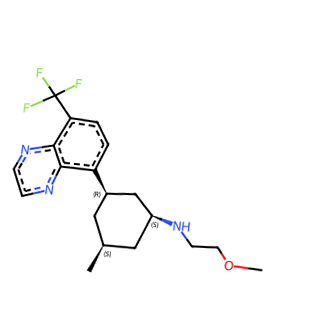 COCCN[C@H]1C[C@@H](C)C[C@@H](c2ccc(C(F)(F)F)c3nccnc23)C1